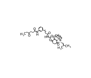 CCC(=O)CCC(=O)Nc1cccc(SCC(=O)NC(=O)O[C@@H]2CC[C@]3(CO3)[C@@H](C3(C)O[C@@H]3CC=C(C)C)[C@@H]2OC)c1